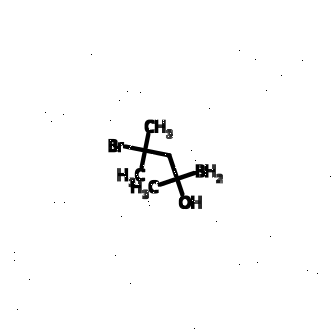 BC(C)(O)CC(C)(C)Br